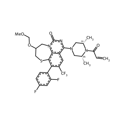 C=CC(=O)N1[C@H](C)CN(c2nc(=O)n3c4c(c(-c5ccc(F)cc5F)c(C(F)(F)F)cc24)SCC(OCOC)C3)C[C@@H]1C